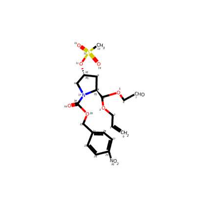 C=CCOC(OCC=O)[C@@H]1C[C@@H](OS(C)(=O)=O)CN1C(=O)OCc1ccc([N+](=O)[O-])cc1